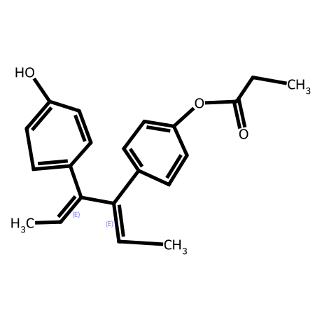 C/C=C(/C(=C/C)c1ccc(OC(=O)CC)cc1)c1ccc(O)cc1